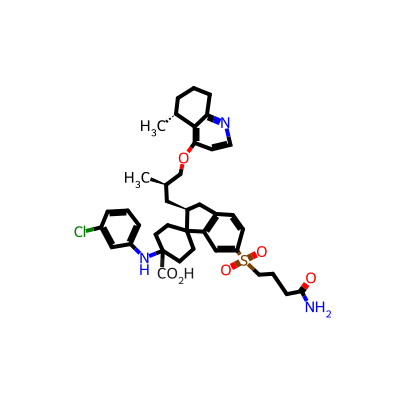 C[C@@H](COc1ccnc2c1[C@H](C)CCC2)C[C@H]1Cc2ccc(S(=O)(=O)CCCC(N)=O)cc2C12CCC(Nc1cccc(Cl)c1)(C(=O)O)CC2